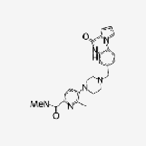 CNC(=O)c1ccc(N2CCN(Cc3ccc4c(c3)[nH]c(=O)c3cccn34)CC2)c(C)n1